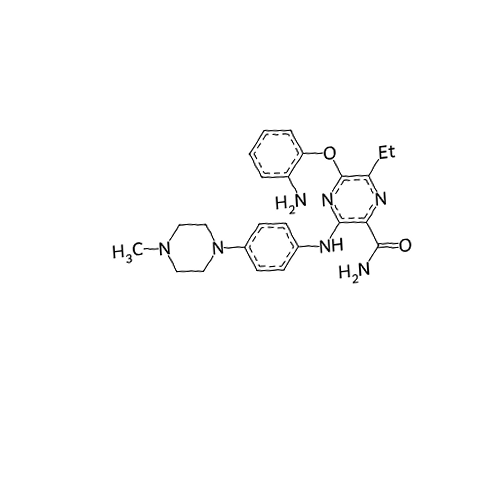 CCc1nc(C(N)=O)c(Nc2ccc(N3CCN(C)CC3)cc2)nc1Oc1ccccc1N